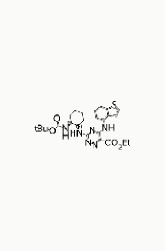 CCOC(=O)c1nnc(N[C@@H]2CCCC[C@@H]2NC(=O)OC(C)(C)C)nc1Nc1cccc2sccc12